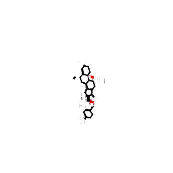 C=C[C@H]1C[C@@H]2[C@](C=C)([C@@H](O)C[C@@]3(C)[C@@]2(C)C[C@H]2CN(CC4=CC=C(Cl)CC4)O[C@]23C(=O)CO)[C@@]2(C)C=CC(=O)C=C12